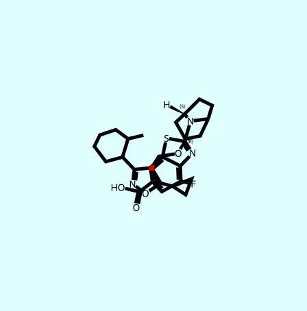 CC1CCCCC1c1noc(C2CC2)c1CO[C@@H]1CC2CC[C@@H](C1)N2c1nc2c(F)cc(C(=O)O)cc2s1